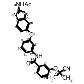 CC(=O)Nc1nc2ccc(Oc3cccc(NC(=O)c4cccc(OC(C)(C)C#N)c4)c3)cc2s1